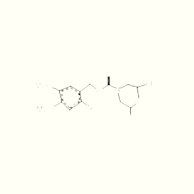 COc1cc(COC(=O)N2CC(C)OC(C)C2)c([N+](=O)[O-])cc1OC